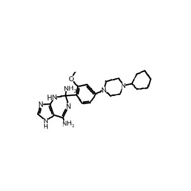 COc1cc(N2CCN(C3CCCCC3)CC2)ccc1C1(N)N=C(N)c2[nH]cnc2N1